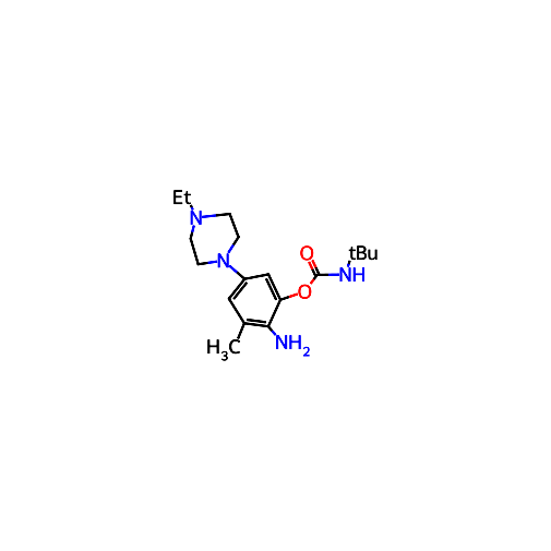 CCN1CCN(c2cc(C)c(N)c(OC(=O)NC(C)(C)C)c2)CC1